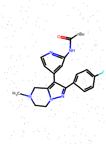 CCCCC(=O)Nc1cc(-c2c(-c3ccc(F)cc3)nn3c2CN(C)CC3)ccn1